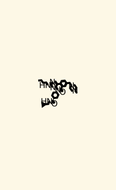 CCCCNc1ncc2c3ccc(CN4CCN(C)CC4)cc3c(=O)n([C@H]3CC[C@H](C(=O)NCC4CC4)CC3)c2n1